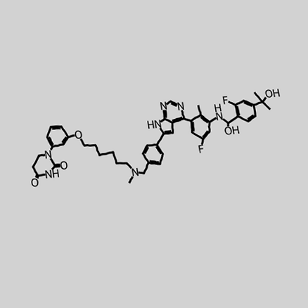 Cc1c(NC(O)c2ccc(C(C)(C)O)cc2F)cc(F)cc1-c1ncnc2[nH]c(-c3ccc(CN(C)CCCCCCOc4cccc(N5CCC(=O)NC5=O)c4)cc3)cc12